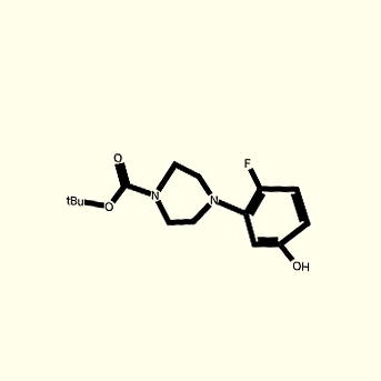 CC(C)(C)OC(=O)N1CCN(c2cc(O)ccc2F)CC1